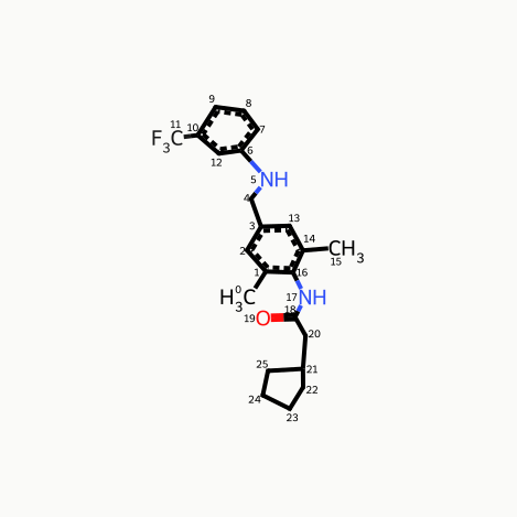 Cc1cc(CNc2cccc(C(F)(F)F)c2)cc(C)c1NC(=O)CC1CCCC1